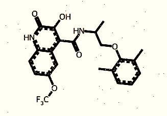 Cc1cccc(C)c1OCC(C)NC(=O)c1c(O)c(=O)[nH]c2ccc(OC(F)(F)F)cc12